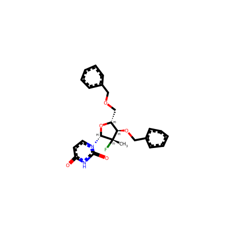 C[C@]1(F)[C@H](OCc2ccccc2)[C@@H](COCc2ccccc2)O[C@H]1n1ccc(=O)[nH]c1=O